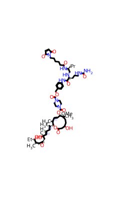 CC[C@H](O)[C@@H](C)[C@H]1O[C@@H]1C[C@@](C)(O)/C=C/C=C(\C)[C@H]1OC(=O)C[C@H](O)CC[C@@](C)(OC)[C@@H](OC(=O)N2CCN(C(=O)OCc3ccc(NC(=O)[C@H](CCCNC(N)=O)NC[C@@H](NC(=O)CCCCCN4C(=O)C=CC4=O)C(C)C)cc3)CC2)/C=C/[C@@H]1C